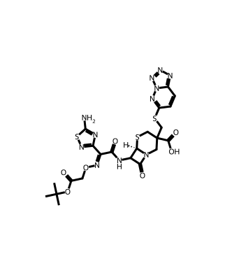 CC(C)(C)OC(=O)CON=C(C(=O)NC1C(=O)N2CC(CSc3ccc4nnnn4n3)(C(=O)O)CS[C@H]12)c1nsc(N)n1